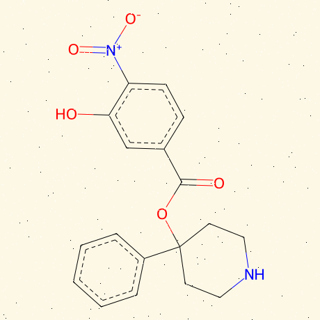 O=C(OC1(c2ccccc2)CCNCC1)c1ccc([N+](=O)[O-])c(O)c1